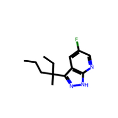 CCCC(C)(CC)c1n[nH]c2ncc(F)cc12